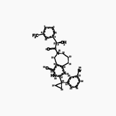 O=C([C@H](O)c1cccc(C(F)(F)F)c1)N1CCCc2nc(C3(c4cccc(Br)c4)CC3)[nH]c(=O)c2C1